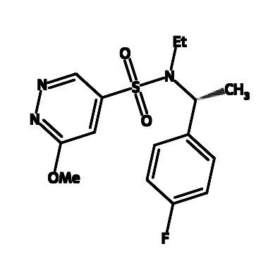 CCN([C@H](C)c1ccc(F)cc1)S(=O)(=O)c1cnnc(OC)c1